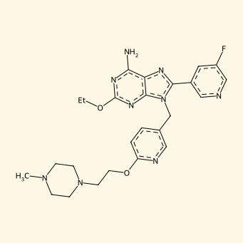 CCOc1nc(N)c2nc(-c3cncc(F)c3)n(Cc3ccc(OCCN4CCN(C)CC4)nc3)c2n1